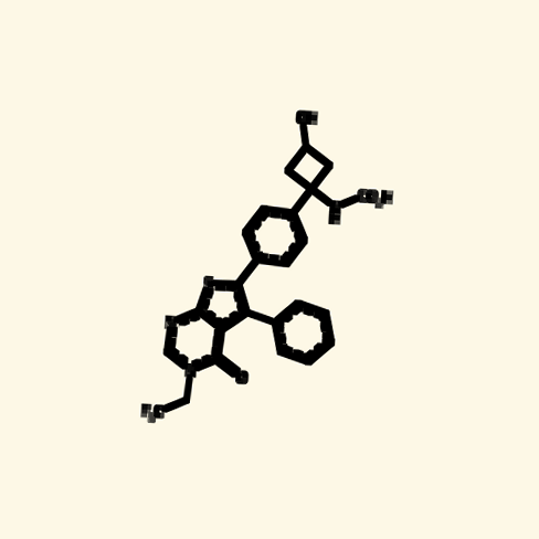 O=C(O)NC1(c2ccc(-c3sc4ncn(CC(F)(F)F)c(=O)c4c3-c3ccccc3)cc2)CC(O)C1